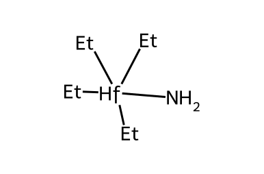 C[CH2][Hf]([NH2])([CH2]C)([CH2]C)[CH2]C